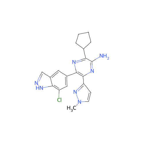 Cn1ccc(-c2nc(N)c(C3CCCC3)nc2-c2cc(Cl)c3[nH]ncc3c2)n1